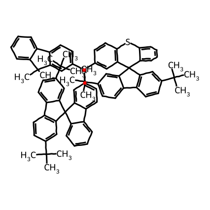 CC(C)(C)c1ccc2c(c1)C1(c3ccccc3Sc3ccc(N(c4ccc5c(c4)C(C)(C)c4ccccc4-5)c4ccc5c(c4)C4(c6ccccc6-5)c5cc(C(C)(C)C)ccc5-c5ccc(C(C)(C)C)cc54)cc31)c1cc(C(C)(C)C)ccc1-2